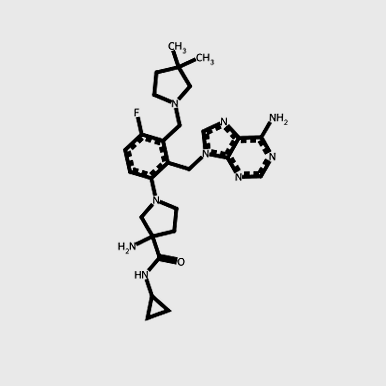 CC1(C)CCN(Cc2c(F)ccc(N3CCC(N)(C(=O)NC4CC4)C3)c2Cn2cnc3c(N)ncnc32)C1